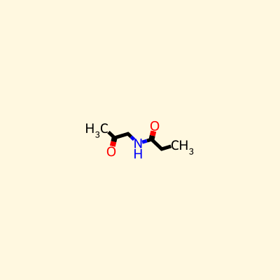 CCC(=O)NCC(C)=O